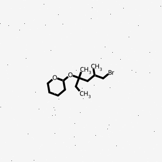 CCC(C)(CC(C)CBr)OC1CCCCO1